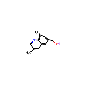 Cc1cnc2c(C)cc(COI)cc2c1